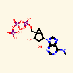 CNc1ncnc2c1ncn2[C@@H]1C2C[C@@]2(COP(=O)(O)OP(=O)(O)OP(=O)(O)O)[C@@H](O)[C@H]1O